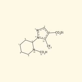 CCOC(=O)c1cnn(C2CCCCN2C(=O)O)c1C(F)(F)F